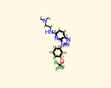 CN(C)CCNc1ccc2nnn(-c3cccc(OC(F)(F)F)c3)c2n1